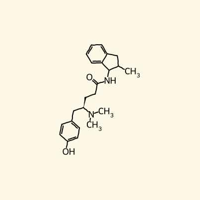 CC1Cc2ccccc2C1NC(=O)CC[C@H](Cc1ccc(O)cc1)N(C)C